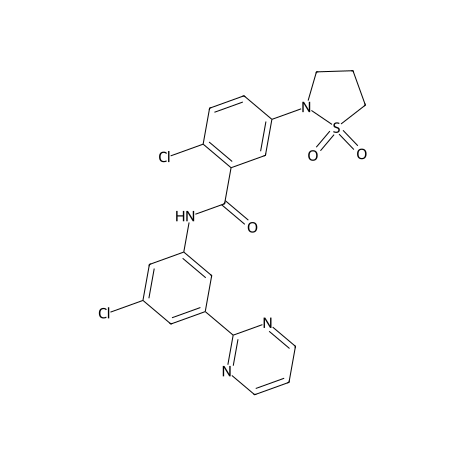 O=C(Nc1cc(Cl)cc(-c2ncccn2)c1)c1cc(N2CCCS2(=O)=O)ccc1Cl